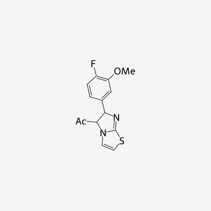 COc1cc(C2N=C3SC=CN3C2C(C)=O)ccc1F